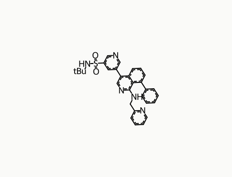 CC(C)(C)NS(=O)(=O)c1cncc(-c2cnc(NCc3ccccn3)c3c(-c4ccccc4)cccc23)c1